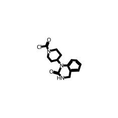 O=C(Cl)N1CCC(N2C(=O)NCc3ccccc32)CC1